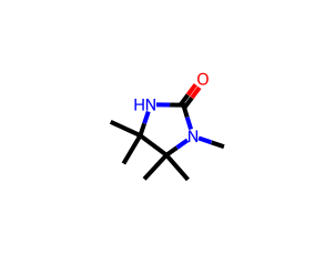 CN1C(=O)NC(C)(C)C1(C)C